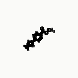 COC(=O)c1ccc(N2CC3(CC3)C2)nc1